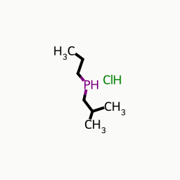 CCCPCC(C)C.Cl